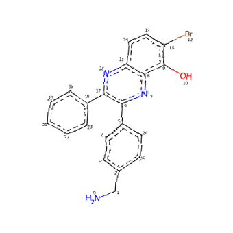 NCc1ccc(-c2nc3c(O)c(Br)ccc3nc2-c2ccccc2)cc1